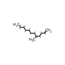 C=CCCC(C)CCCCCCC